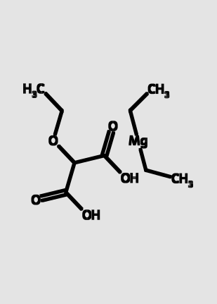 CCOC(C(=O)O)C(=O)O.C[CH2][Mg][CH2]C